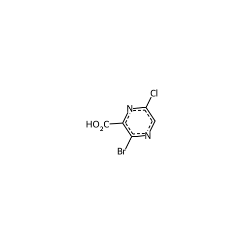 O=C(O)c1nc(Cl)cnc1Br